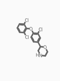 Clc1cc(C2CNCCO2)ccc1Oc1c(Cl)cccc1Cl